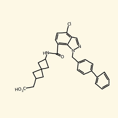 O=C(O)CC1CC2(C1)CC(NC(=O)c1ccc(Cl)c3cnn(Cc4ccc(-c5ccccc5)cc4)c13)C2